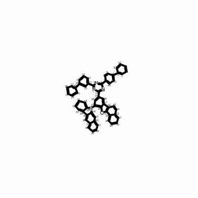 c1ccc(-c2ccc(-c3nc(-c4cccc(-c5ccccc5)c4)nc(-c4cc(-n5c6ccccc6c6cc7ccccc7cc65)c5oc6c7ccccc7ccc6c5c4)n3)cc2)cc1